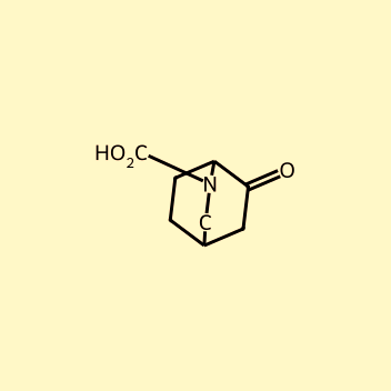 O=C1CC2CCC1N(C(=O)O)C2